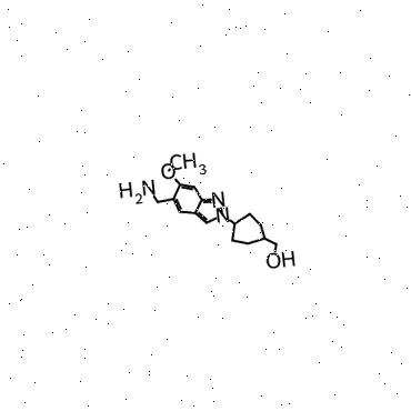 COc1cc2nn(C3CCC(CO)CC3)cc2cc1CN